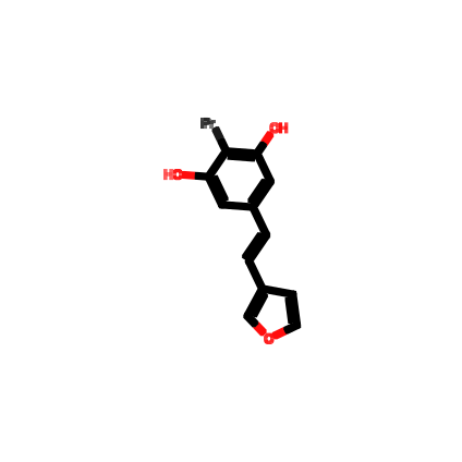 CC(C)c1c(O)cc(/C=C/c2ccoc2)cc1O